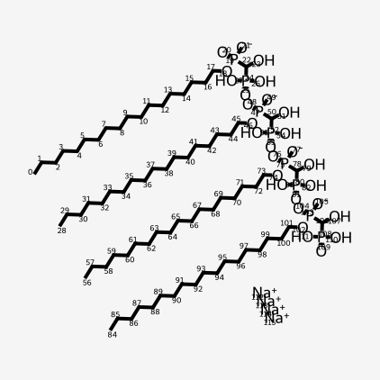 CCCCCCCCCCCCCCCCCCOP(=O)([O-])C(O)P(=O)(O)O.CCCCCCCCCCCCCCCCCCOP(=O)([O-])C(O)P(=O)(O)O.CCCCCCCCCCCCCCCCCCOP(=O)([O-])C(O)P(=O)(O)O.CCCCCCCCCCCCCCCCCCOP(=O)([O-])C(O)P(=O)(O)O.[Na+].[Na+].[Na+].[Na+]